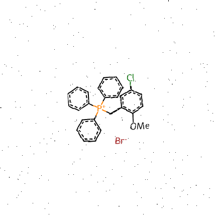 COc1ccc(Cl)cc1C[P+](c1ccccc1)(c1ccccc1)c1ccccc1.[Br-]